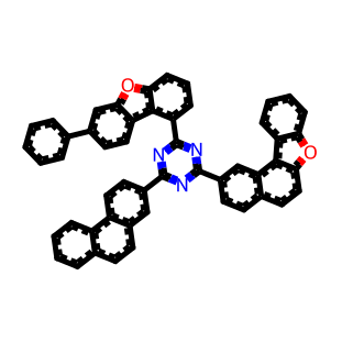 c1ccc(-c2ccc3c(c2)oc2cccc(-c4nc(-c5ccc6c(ccc7ccccc76)c5)nc(-c5ccc6ccc7oc8ccccc8c7c6c5)n4)c23)cc1